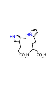 CC(CCc1ccc[nH]1)CC(=O)O.Cc1c[nH]cc1CCC(=O)O